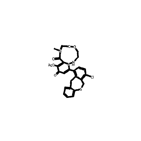 CC(=O)Oc1c2n(c(-c3ccc(Cl)c4c3Cc3ccccc3SC4)cc1=O)NCCOCCN(C)C2=O